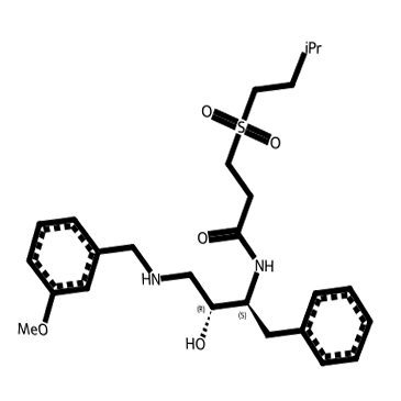 COc1cccc(CNC[C@@H](O)[C@H](Cc2ccccc2)NC(=O)CCS(=O)(=O)CCC(C)C)c1